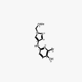 COCn1cc(Nc2ccc(O)c(Br)n2)cn1